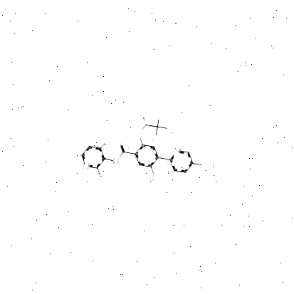 Cc1ccc(-c2cc(O[C@@H](C)C(F)(F)F)c(C(=O)Nc3c(C)ccnc3Cl)cc2F)nc1